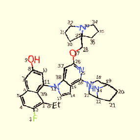 CCc1c(F)ccc2cc(O)cc(-n3ccc4c(N5CC6CCC(C5)N6)nc(OCC56CCCN5CCC6)cc43)c12